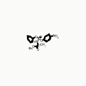 CC(C)OC(=O)[C@@H](C)N[P@](=O)(Oc1ccccc1)Oc1ccc([N+](=O)[O-])cc1